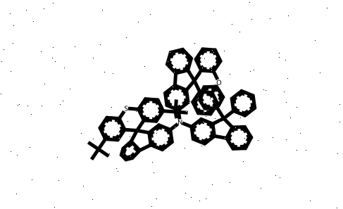 CC(C)(C)c1ccc2c(c1)C1(c3cc(C(C)(C)C)ccc3S2)c2ccccc2-c2ccc(N(c3ccc4c(c3)C(c3ccccc3)(c3ccccc3)c3ccccc3-4)c3ccc4c(c3)C3(c5ccccc5Oc5ccccc53)c3ccccc3-4)cc21